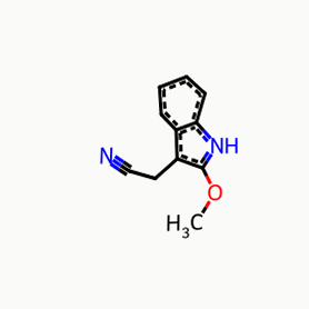 COc1[nH]c2ccccc2c1CC#N